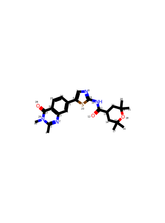 Cc1nc2cc(-c3cnc(NC(=O)C4CC(C)(C)OC(C)(C)C4)s3)ccc2c(=O)n1C